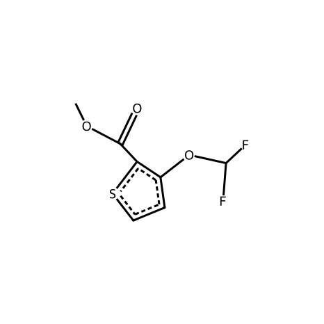 COC(=O)c1sccc1OC(F)F